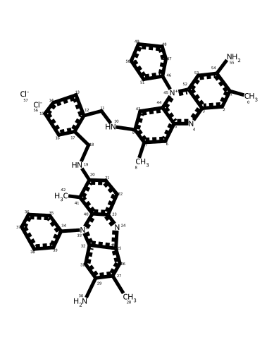 Cc1cc2nc3cc(C)c(NCc4ccccc4CNc4ccc5nc6cc(C)c(N)cc6[n+](-c6ccccc6)c5c4C)cc3[n+](-c3ccccc3)c2cc1N.[Cl-].[Cl-]